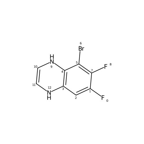 Fc1cc2c(c(Br)c1F)NC=CN2